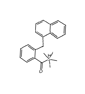 C[SH](C)(C)(C)C(=O)c1ccccc1Cc1cccc2ccccc12